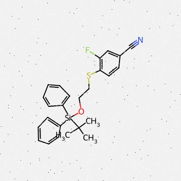 CC(C)(C)[Si](OCCSc1ccc(C#N)cc1F)(c1ccccc1)c1ccccc1